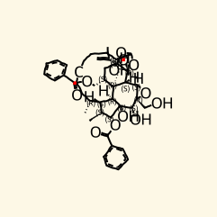 C=C(C)[C@@]12C[C@@H](COC(=O)c3ccccc3)[C@@]34OC5(O[C@@H]1[C@@H]3[C@@H]1O[C@]1(CO)[C@@H](O)[C@@]1(O)[C@H]4[C@H]([C@H](C)[C@@H]1OC(=O)c1ccccc1)[C@H](C)CCCCCC[C@H]5O)O2